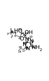 C=P(C)(C)CCC1OC(n2cnc3c(N)nc(CCC)nc32)[C@H](O)[C@@H]1O